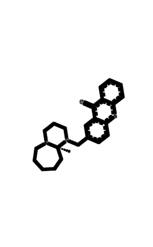 C[C@]12CCCCCN1CCCN2Cc1ccc2sc3ccccc3c(=O)c2c1